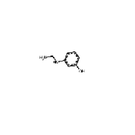 NCNc1cccc(O)c1